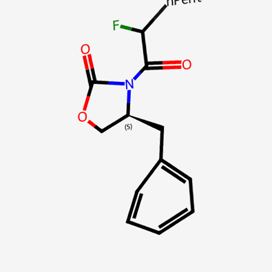 CCCCCC(F)C(=O)N1C(=O)OC[C@@H]1Cc1ccccc1